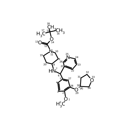 COc1ccc(C(NC2CCN(C(=O)OC(C)(C)C)CC2)c2cccnc2)cc1O[C@@H]1CCOC1